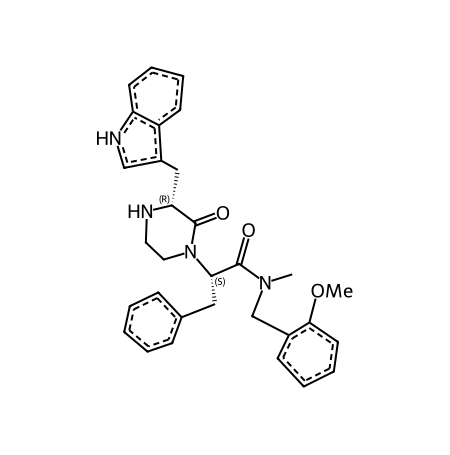 COc1ccccc1CN(C)C(=O)[C@H](Cc1ccccc1)N1CCN[C@H](Cc2c[nH]c3ccccc23)C1=O